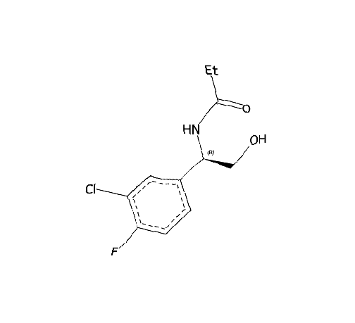 CCC(=O)N[C@@H](CO)c1ccc(F)c(Cl)c1